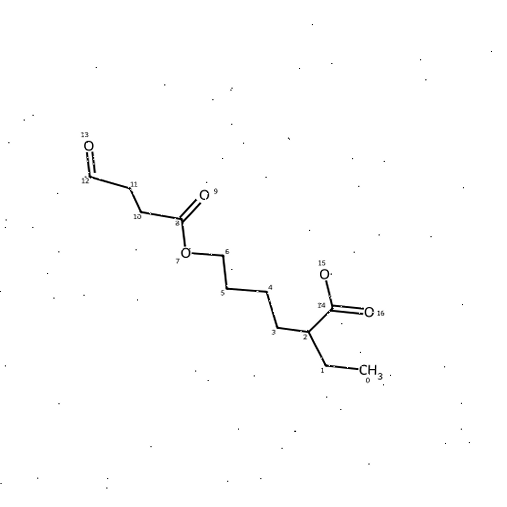 CCC(CCCCOC(=O)CC[C]=O)C([O])=O